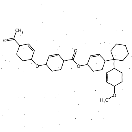 COC1C=CC(C2(C3C=CC(OC(=O)C4C=CC(OC5C=CC(C(C)=O)CC5)CC4)CC3)CCCCC2)CC1